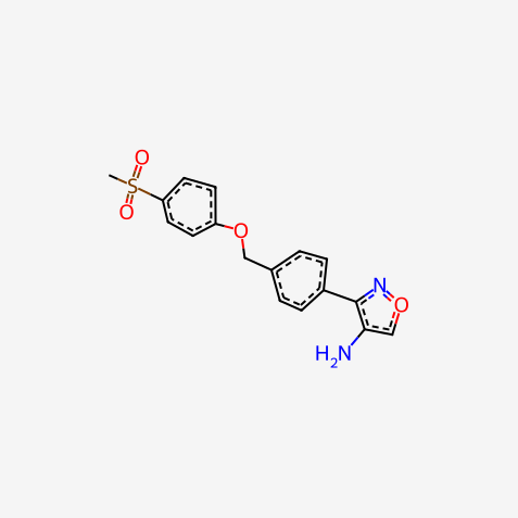 CS(=O)(=O)c1ccc(OCc2ccc(-c3nocc3N)cc2)cc1